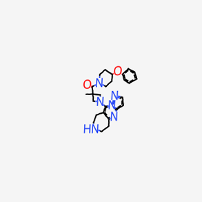 CC1(C(=O)N2CCC(Oc3ccccc3)CC2)CN(c2c3c(nc4ccnn24)CCNCC3)C1